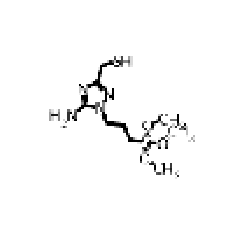 CO[Si](CCCn1nc(CS)nc1N)(OC)OC